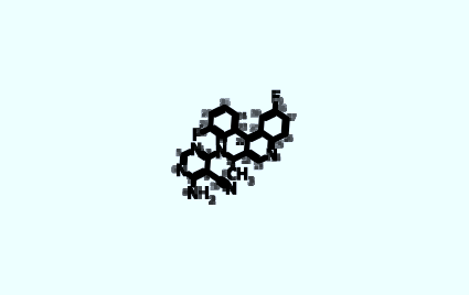 C[C@@H](Nc1ncnc(N)c1C#N)c1cnc2ccc(F)cc2c1-c1cccc(F)c1